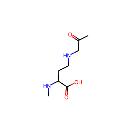 CNC(CCNCC(C)=O)C(=O)O